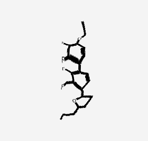 CCCC1CCC(c2ccc(-c3ccc(OCC)c(F)c3F)c(F)c2F)O1